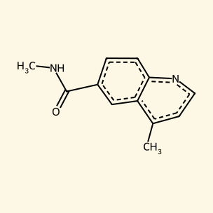 CNC(=O)c1ccc2nccc(C)c2c1